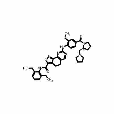 CCc1cccc(CC)c1NC(=O)c1onc2c1CCc1cnc(Nc3ccc(C(=O)N4CCC[C@H]4CN4CCCC4)cc3OC)nc1-2